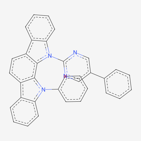 c1ccc(-c2cnc(-n3c4ccccc4c4ccc5c6ccccc6n(-c6ccccc6)c5c43)nc2)cc1